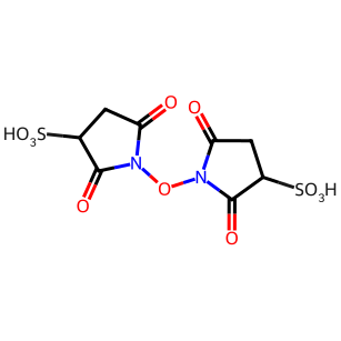 O=C1CC(S(=O)(=O)O)C(=O)N1ON1C(=O)CC(S(=O)(=O)O)C1=O